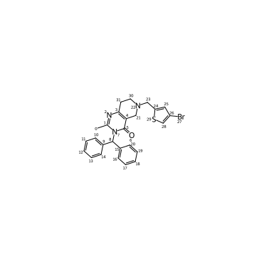 Cc1nc2c(c(=O)n1C(c1ccccc1)c1ccccc1)CN(Cc1cc(Br)cs1)CC2